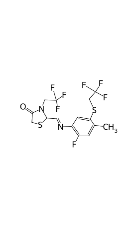 Cc1cc(F)c(N=CC2SCC(=O)N2CC(F)(F)F)cc1SCC(F)(F)F